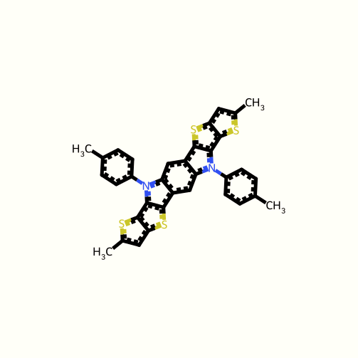 Cc1ccc(-n2c3cc4c5sc6cc(C)sc6c5n(-c5ccc(C)cc5)c4cc3c3sc4cc(C)sc4c32)cc1